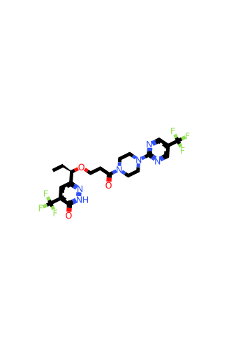 CC[C@@H](OCCC(=O)N1CCN(c2ncc(C(F)(F)F)cn2)CC1)c1cc(C(F)(F)F)c(=O)[nH]n1